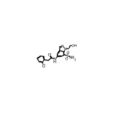 NS(=O)(=O)c1cc(NC(=O)Cc2ccccc2Cl)cc2cnn(CCO)c12